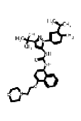 Cc1ccc(-n2nc(C(C)(C)C)cc2NC(=O)Nc2ccc(OCCN3CCOCC3)c3ccccc23)cc1C(C)C